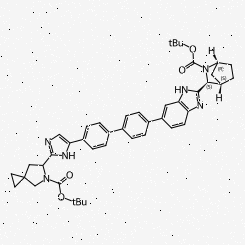 CC(C)(C)OC(=O)N1CC2(CC2)CC1c1ncc(-c2ccc(-c3ccc(-c4ccc5nc([C@@H]6[C@H]7CC[C@H](C7)N6C(=O)OC(C)(C)C)[nH]c5c4)cc3)cc2)[nH]1